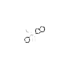 CCOC(Nc1[c]c2ccccc2cc1)c1ccccc1